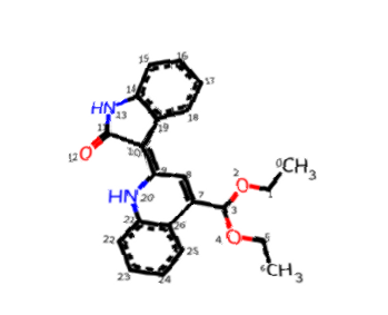 CCOC(OCC)C1=CC(=C2C(=O)Nc3ccccc32)Nc2ccccc21